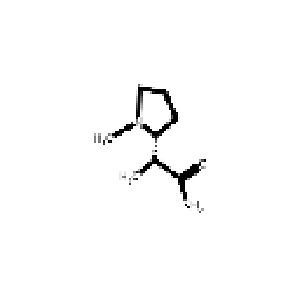 CC(C(N)=O)[C@H]1CCCN1C